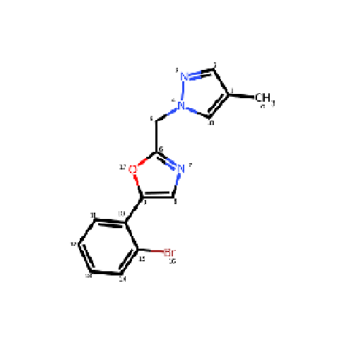 Cc1cnn(Cc2ncc(-c3ccccc3Br)o2)c1